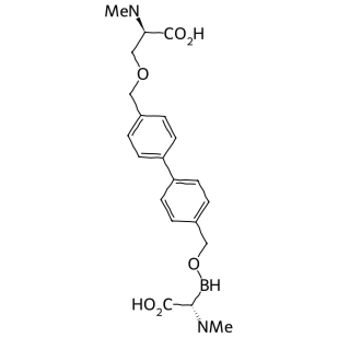 CN[C@@H](BOCc1ccc(-c2ccc(COC[C@@H](NC)C(=O)O)cc2)cc1)C(=O)O